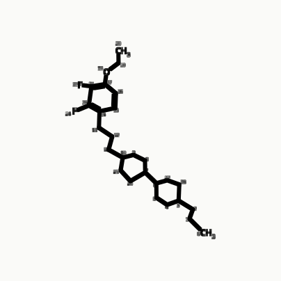 CCCC1CCC(C2CCC(CCCc3ccc(OCC)c(F)c3F)CC2)CC1